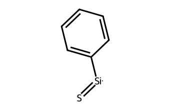 S=[Si]c1ccccc1